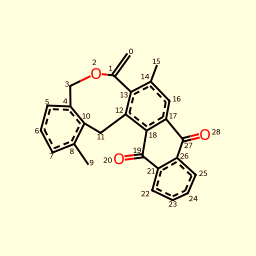 C=C1OCc2cccc(C)c2Cc2c1c(C)cc1c2C(=O)c2ccccc2C1=O